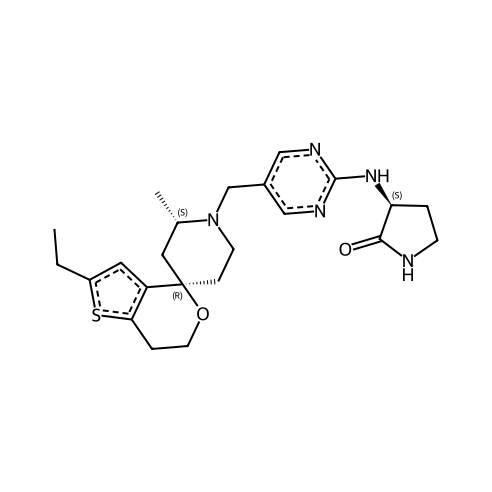 CCc1cc2c(s1)CCO[C@@]21CCN(Cc2cnc(N[C@H]3CCNC3=O)nc2)[C@@H](C)C1